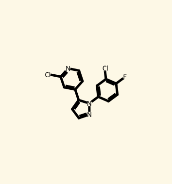 Fc1ccc(-n2nccc2-c2ccnc(Cl)c2)cc1Cl